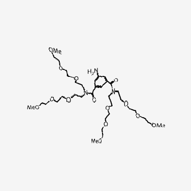 COCCOCCOCCN(CCOCCOCCOC)C(=O)c1cc(N)cc(C(=O)N(CCOCCOCCOC)CCOCCOCCOC)c1